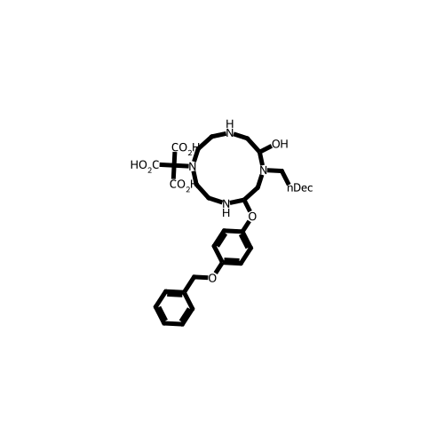 CCCCCCCCCCCN1CC(Oc2ccc(OCc3ccccc3)cc2)NCCN(C(C(=O)O)(C(=O)O)C(=O)O)CCNCC1O